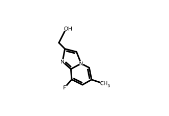 Cc1cc(F)c2nc(CO)cn2c1